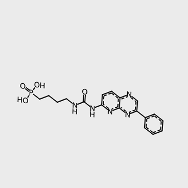 O=C(NCCCCP(=O)(O)O)Nc1ccc2ncc(-c3ccccc3)nc2n1